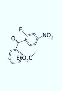 CCOC(C)=O.O=C(c1ccccc1)c1ccc([N+](=O)[O-])cc1F